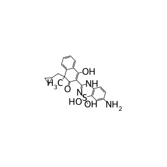 CC1(CC2CC2)C(=O)C(C2=NS(O)(O)c3cc(N)ccc3N2)=C(O)c2ccccc21